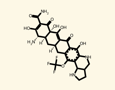 NC(=O)C1=C(O)[C@@H](N)[C@@H]2C[C@@H]3Cc4c(OC(F)(F)F)c5c(c(O)c4C(=O)C3=C(O)[C@]2(O)C1=O)NCC1CCNC51